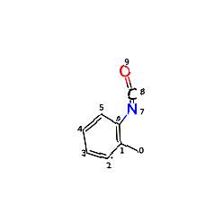 Cc1[c]cccc1N=C=O